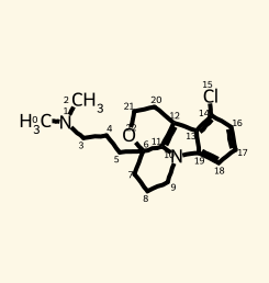 CN(C)CCCC12CCCn3c1c(c1c(Cl)cccc13)CCO2